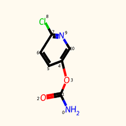 NC(=O)Oc1ccc(Cl)nc1